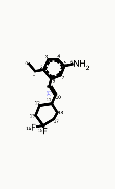 CCc1ccc(N)cc1/C=C/C1CCC(F)(F)CC1